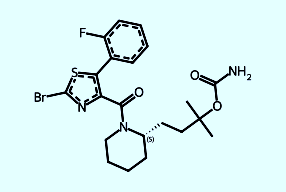 CC(C)(CC[C@@H]1CCCCN1C(=O)c1nc(Br)sc1-c1ccccc1F)OC(N)=O